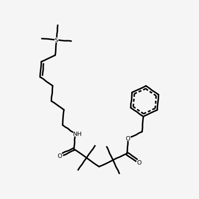 CC(C)(CC(C)(C)C(=O)OCc1ccccc1)C(=O)NCCCC/C=C\CS(C)(C)C